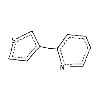 [c]1ccnc(-c2ccsc2)c1